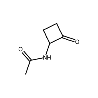 CC(=O)NC1CCC1=O